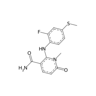 CSc1ccc(Nc2c(C(N)=O)ccc(=O)n2C)c(F)c1